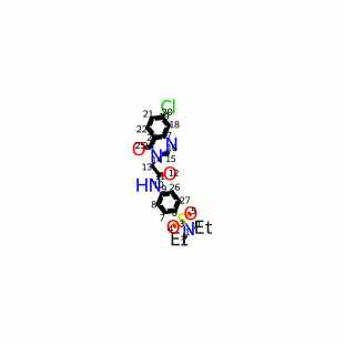 CCN(CC)S(=O)(=O)c1ccc(NC(=O)Cn2cnc3cc(Cl)ccc3c2=O)cc1